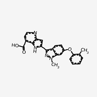 Cc1ccccc1Oc1ccc2c(-c3cc4nccc(C(=O)O)c4[nH]3)nn(C)c2c1